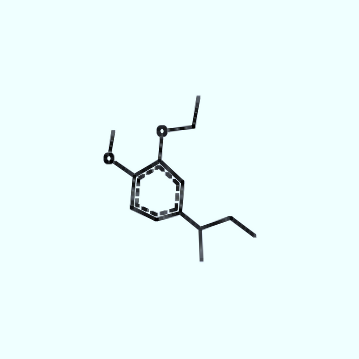 CCOc1cc(C(C)CC)ccc1OC